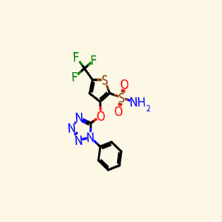 NS(=O)(=O)c1sc(C(F)(F)F)cc1Oc1nnnn1-c1ccccc1